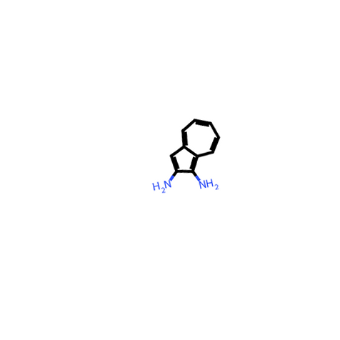 Nc1cc2cccccc-2c1N